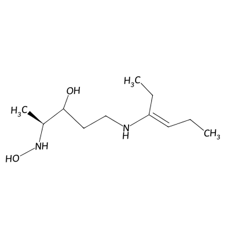 CC/C=C(\CC)NCCC(O)[C@H](C)NO